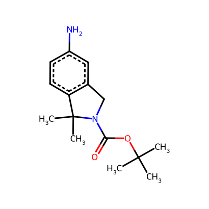 CC(C)(C)OC(=O)N1Cc2cc(N)ccc2C1(C)C